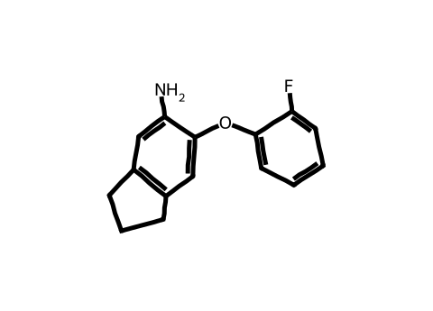 Nc1cc2c(cc1Oc1ccccc1F)CCC2